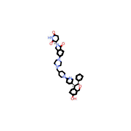 O=C1CC[C@H](N2Cc3cc(N4CCN(CC5CCN(c6ccc([C@@H]7c8ccc(O)cc8CO[C@@H]7c7ccccc7)cn6)CC5)CC4)ccc3C2=O)C(=O)N1